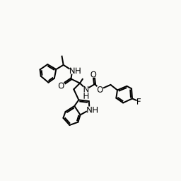 CC(NC(=O)C(C)(Cc1c[nH]c2ccccc12)NC(=O)OCc1ccc(F)cc1)c1ccccc1